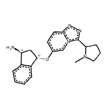 CN1CCCC1c1nnc2ccc(O[C@H]3C[C@H](N)c4ccccc43)cn12